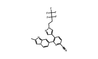 Cc1cn2ccc(-c3nc(C#N)ccc3-c3cnn(CCC(F)(F)C(F)(F)F)c3)cc2n1